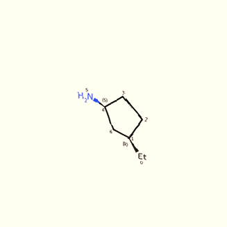 CC[C@@H]1CC[C@H](N)C1